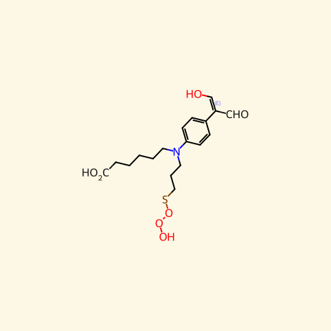 O=C/C(=C/O)c1ccc(N(CCCCCC(=O)O)CCCSOOO)cc1